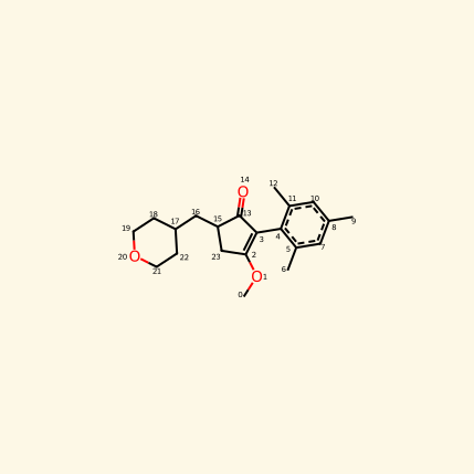 COC1=C(c2c(C)cc(C)cc2C)C(=O)C(CC2CCOCC2)C1